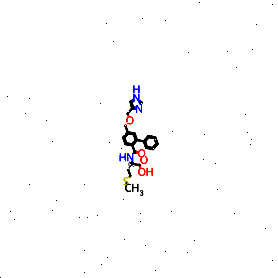 CSCC[C@H](NC(=O)c1ccc(COCc2c[nH]cn2)cc1-c1ccccc1)C(=O)O